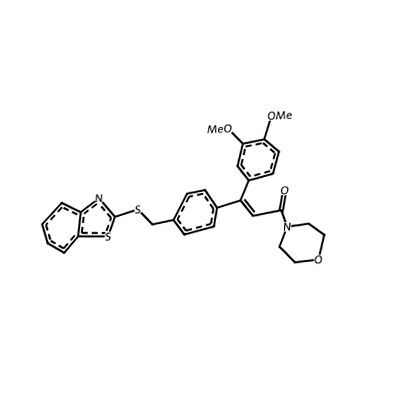 COc1ccc(C(=CC(=O)N2CCOCC2)c2ccc(CSc3nc4ccccc4s3)cc2)cc1OC